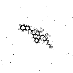 CC(C)(CCC(CC(O)C(Cc1cccc(F)c1)NC(=O)c1cnc2ccccc2n1)C(N)=O)OC(=O)OCCN